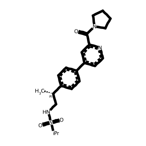 CC(C)S(=O)(=O)NC[C@H](C)c1ccc(-c2ccnc(C(=O)N3CCCC3)c2)cc1